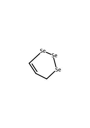 C1=C[Se][Se][Se]C1